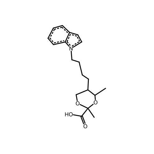 CC1OC(C)(C(=O)O)OCC1CCCCn1ccc2ccccc21